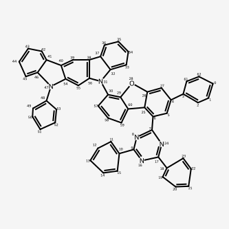 c1ccc(-c2cc(-c3nc(-c4ccccc4)nc(-c4ccccc4)n3)c3c(c2)oc2c(-n4c5ccccc5c5cc6c7ccccc7n(-c7ccccc7)c6cc54)cccc23)cc1